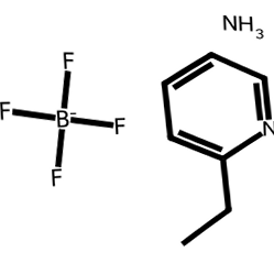 CCc1ccccn1.F[B-](F)(F)F.N